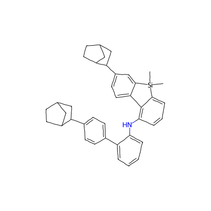 C[Si]1(C)c2cc(C3CC4CCC3C4)ccc2-c2c(Nc3ccccc3-c3ccc(C4CC5CCC4C5)cc3)cccc21